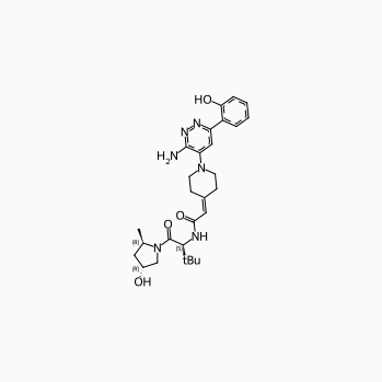 C[C@@H]1C[C@@H](O)CN1C(=O)[C@@H](NC(=O)C=C1CCN(c2cc(-c3ccccc3O)nnc2N)CC1)C(C)(C)C